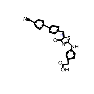 N#Cc1ccc(-c2ccc(/C=C3/SC(Nc4ccc(CC(=O)O)cc4)=NC3=O)cc2)cc1